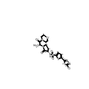 C[C@@H](C(=O)N1CCOCC1)N1CC[C@H](NS(=O)(=O)c2ccc(-c3nnc(Cl)s3)s2)C1=O